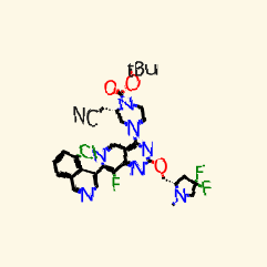 CN1CC(F)(F)C[C@H]1COc1nc(N2CCN(C(=O)OC(C)(C)C)[C@@H](CC#N)C2)c2cnc(-c3cncc4cccc(Cl)c34)c(F)c2n1